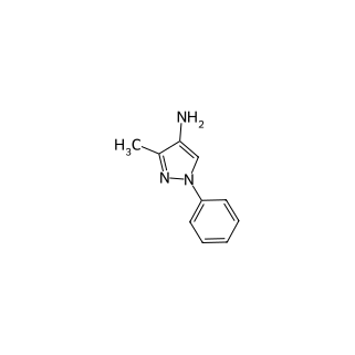 Cc1nn(-c2ccccc2)cc1N